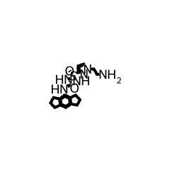 N=S(=O)(NC(=O)Nc1c2c(cc3c1CCC3)CCC2)c1ccn(CCN)n1